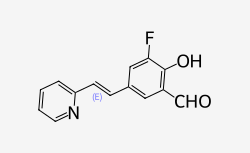 O=Cc1cc(/C=C/c2ccccn2)cc(F)c1O